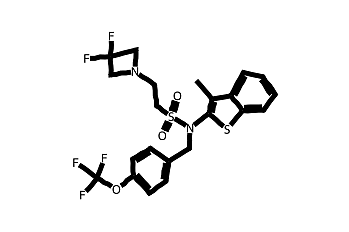 Cc1c(N(Cc2ccc(OC(F)(F)F)cc2)S(=O)(=O)CCN2CC(F)(F)C2)sc2ccccc12